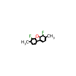 CC1=CC=C2c3ccc(C)c(F)c3OC2C1F